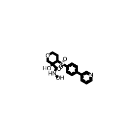 O=C(NO)C1(O)COCCC1S(=O)(=O)c1ccc(-c2cccnc2)cc1